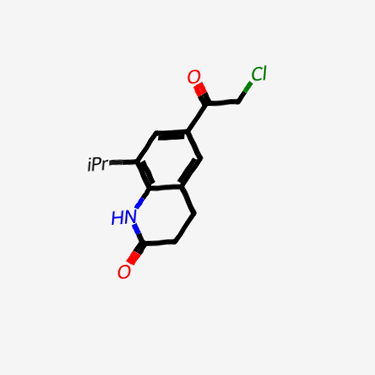 CC(C)c1cc(C(=O)CCl)cc2c1NC(=O)CC2